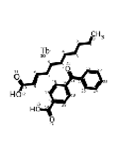 CCCCCCCCC=CC(=O)O.O=C(O)c1ccc(C(=O)c2ccccc2)cc1.[Tb]